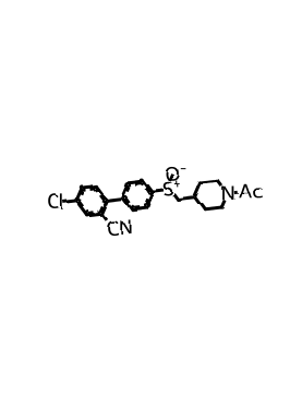 CC(=O)N1CCC(C[S+]([O-])c2ccc(-c3ccc(Cl)cc3C#N)cc2)CC1